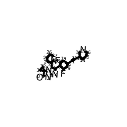 O=C1N=C2N=C(c3c(F)cc(C#Cc4cccnc4)cc3F)C(c3ccccn3)N2C12CC2